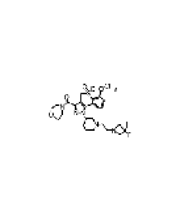 COc1cccc2c1S(=O)(=O)Cc1c(C(=O)N3CCOCC3)nn([C@H]3CCCN(CCN4CC(F)(F)C4)C3)c1-2